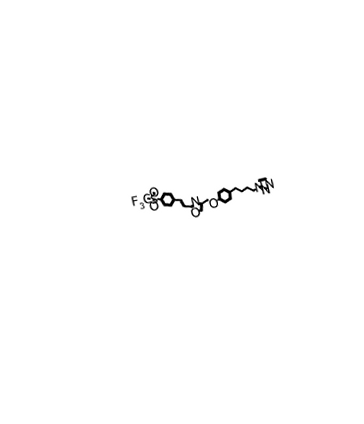 O=S(=O)(c1ccc(/C=C/c2nc(COc3ccc(CCCCn4ccnn4)cc3)co2)cc1)C(F)(F)F